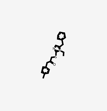 CCn1c(Cc2ccccc2)cnc1SCC(=O)Cc1ccc(C)cc1